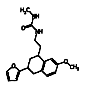 CNC(=O)NCCC1CC(c2ccco2)Cc2ccc(OC)cc21